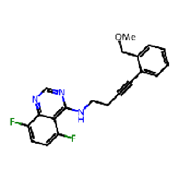 COCc1ccccc1C#CCCNc1ncnc2c(F)ccc(F)c12